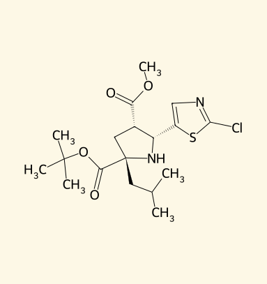 COC(=O)[C@H]1C[C@@](CC(C)C)(C(=O)OC(C)(C)C)N[C@H]1c1cnc(Cl)s1